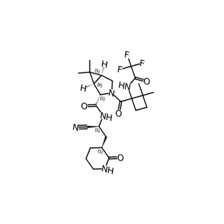 CC1(C)[C@@H]2[C@@H](C(=O)N[C@H](C#N)C[C@@H]3CCCNC3=O)N(C(=O)C3(NC(=O)C(F)(F)F)CCC3(C)C)C[C@@H]21